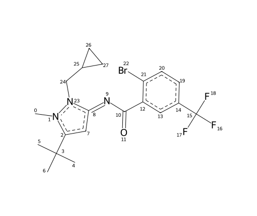 Cn1c(C(C)(C)C)cc(=NC(=O)c2cc(C(F)(F)F)ccc2Br)n1CC1CC1